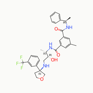 Cc1cc(C(=O)N[C@@H](C)[C@H](O)CN[C@]2(c3cccc(C(F)(F)F)c3)CCOC2)cc(C(=O)N[C@H](C)c2ccccc2)c1